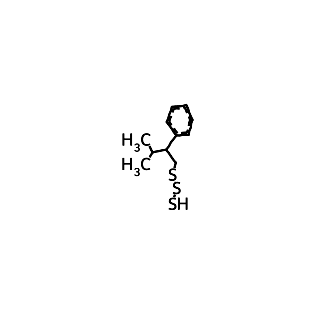 CC(C)C(CSSS)c1ccccc1